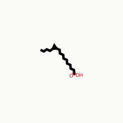 CCCCC1=C(CCCCCCCCCC(=O)O)C1